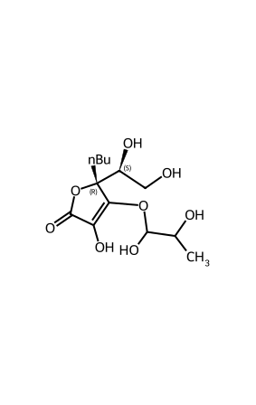 CCCC[C@]1([C@@H](O)CO)OC(=O)C(O)=C1OC(O)C(C)O